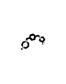 C[C@@H]1CCN(Cc2ccc(CN3CCCN(C)CC3)cc2)C1